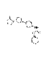 CC1CCCN1C1CCN(c2ccc(NC(=O)ON3CCCCC3)cc2)C1